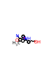 C[C@@H]1C(=O)C(C#N)=C[C@]2(c3ccccc3)c3n[nH]c(-c4cccc(CCCO)c4)c3CCC12